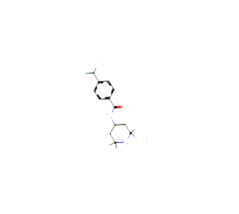 CC(Br)c1ccc(C(=O)NC2CC(C)(C)NC(C)(C)C2)cc1